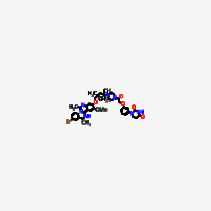 COc1cc2c(N[C@H](C)c3cccc(Br)c3)nc(C)nc2cc1OCC(C)(C)CC(C)(C)N1CCN(C(=O)COc2cccc(N3CCC(=O)NC3=O)c2)CC1